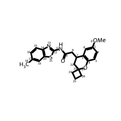 COc1ccc2c(c1)C(CC(=O)Nc1nc3ccc(C)cc3s1)CC1(CCC1)O2